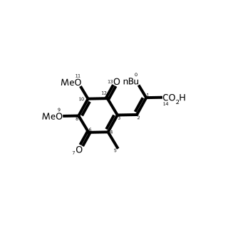 CCCC/C(=C\C1=C(C)C(=O)C(OC)=C(OC)C1=O)C(=O)O